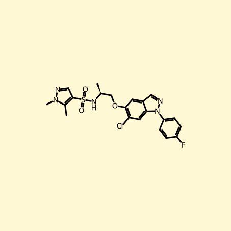 Cc1c(S(=O)(=O)N[C@@H](C)COc2cc3cnn(-c4ccc(F)cc4)c3cc2Cl)cnn1C